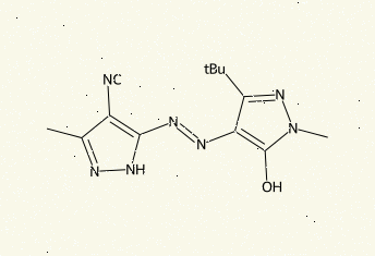 [C-]#[N+]c1c(C)n[nH]c1/N=N/c1c(C(C)(C)C)nn(C)c1O